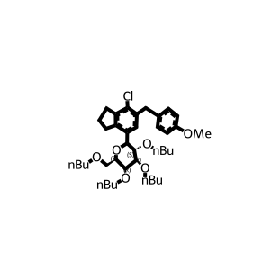 CCCCOC[C@H]1OC(c2cc(Cc3ccc(OC)cc3)c(Cl)c3c2CCC3)[C@H](OCCCC)[C@@H](OCCCC)[C@@H]1OCCCC